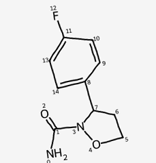 NC(=O)N1OCCC1c1ccc(F)cc1